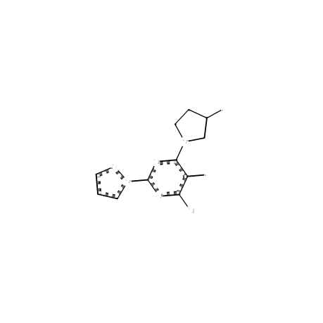 Nc1nc(-n2cccn2)nc(N2CCC(F)C2)c1Br